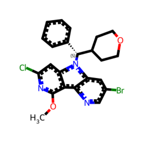 COc1nc(Cl)cc2c1c1ncc(Br)cc1n2[C@H](c1ccccc1)C1CCOCC1